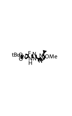 COc1cn2ncc(-c3cncc(N[C@H]4CN(C(=O)OC(C)(C)C)C[C@@H]4F)n3)c2nc1C1CC1